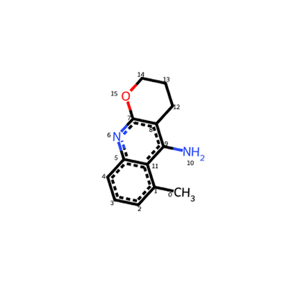 Cc1cccc2nc3c(c(N)c12)CCCO3